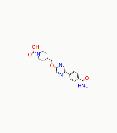 CNC(=O)c1ccc(-c2cnc(OCC3CCN(C(=O)O)CC3)cn2)cc1